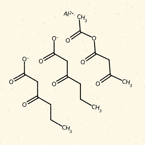 CC(=O)CC(=O)OC(C)=O.CCCC(=O)CC(=O)[O-].CCCC(=O)CC(=O)[O-].[Al+2]